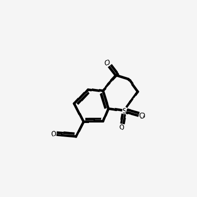 O=Cc1ccc2c(c1)S(=O)(=O)CCC2=O